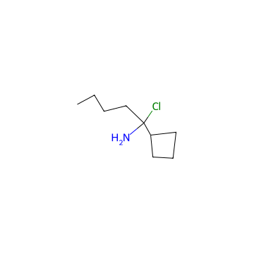 CCCCC(N)(Cl)C1CCC1